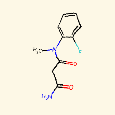 CN(C(=O)CC(N)=O)c1ccccc1F